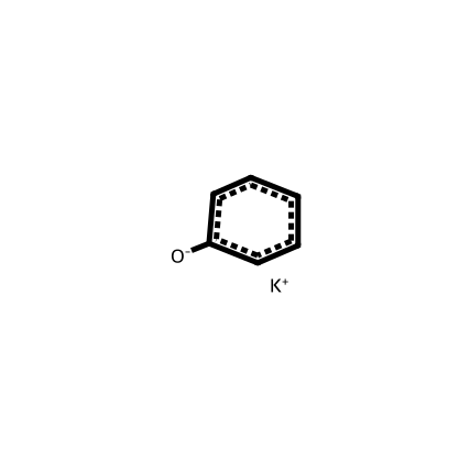 [K+].[O-]c1ccccc1